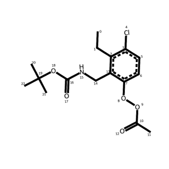 CCc1c(Cl)ccc(OOC(C)=O)c1CNC(=O)OC(C)(C)C